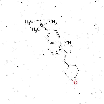 CC[Si](C)(C)c1ccc([Si](C)(C)CCC2CCC3OC3C2)cc1